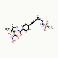 C[C@@](O)(C(F)F)[C@H](NC(=O)c1ccc(C#CC2CC2CNS(C)(=O)=O)cc1)C(=O)NO